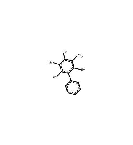 CCCCc1c(C(C)C)c(P)c(C(C)C)c(-c2ccccc2)c1C(C)C